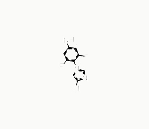 Nc1cc(F)c(-n2cnc(Cl)c2)c(F)c1